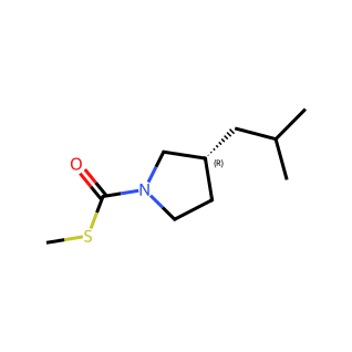 CSC(=O)N1CC[C@@H](CC(C)C)C1